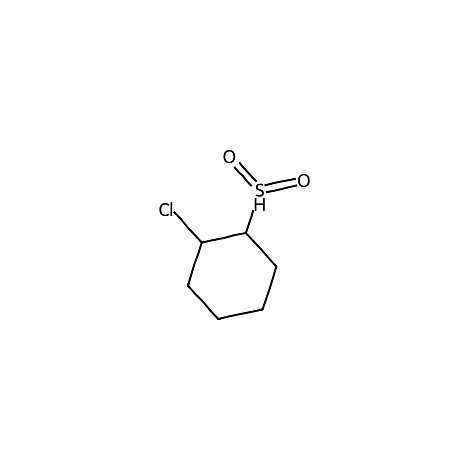 O=[SH](=O)C1CCCCC1Cl